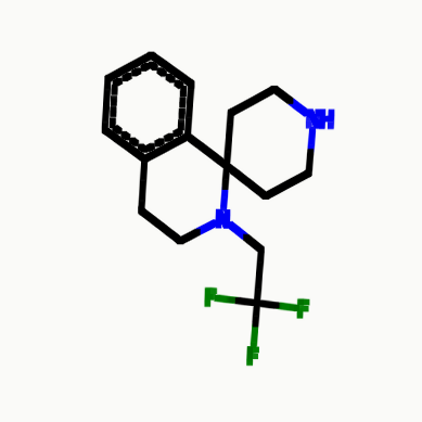 FC(F)(F)CN1CCc2ccccc2C12CCNCC2